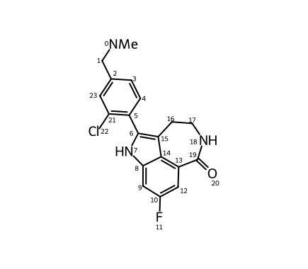 CNCc1ccc(-c2[nH]c3cc(F)cc4c3c2CCNC4=O)c(Cl)c1